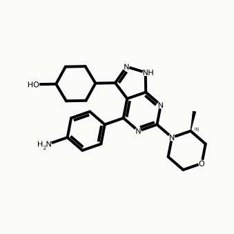 C[C@H]1COCCN1c1nc(-c2ccc(N)cc2)c2c(C3CCC(O)CC3)n[nH]c2n1